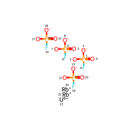 O=P([O-])([O-])F.O=P([O-])([O-])F.O=P([O-])([O-])F.O=P([O-])([O-])F.[Rb+].[Rb+].[U+6]